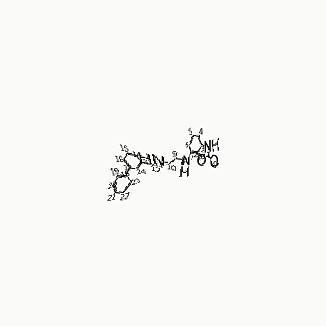 O=c1[nH]c2cccc(NCCNCc3cccc(-c4ccccc4)c3)c2o1